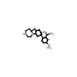 COc1ccc(-c2ccc3c(c2)N2CCNCCC2C3)c(C(C)O)c1